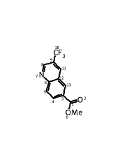 COC(=O)c1ccc2ncc(C(F)(F)F)cc2c1